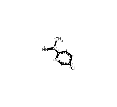 CS(=N)c1ccc(Cl)cn1